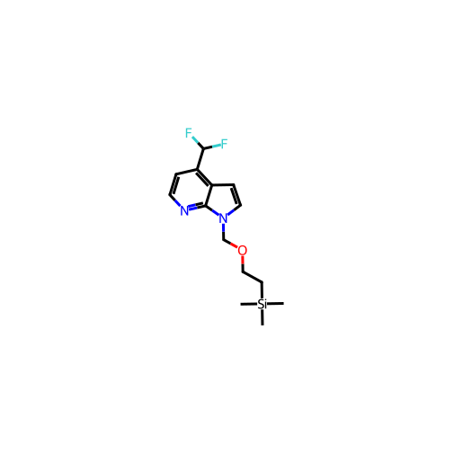 C[Si](C)(C)CCOCn1ccc2c(C(F)F)ccnc21